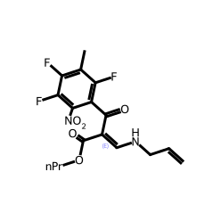 C=CCN/C=C(/C(=O)OCCC)C(=O)c1c(F)c(C)c(F)c(F)c1[N+](=O)[O-]